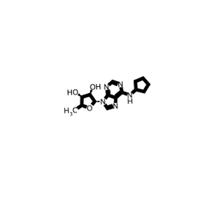 CC1O[C@@H](n2cnc3c(NC4CCCC4)ncnc32)[C@H](O)[C@@H]1O